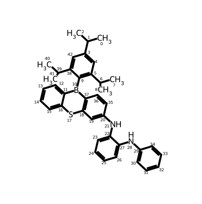 CC(C)c1cc(C(C)C)c(B2c3ccccc3Sc3cc(Nc4ccccc4Nc4ccccc4)ccc32)c(C(C)C)c1